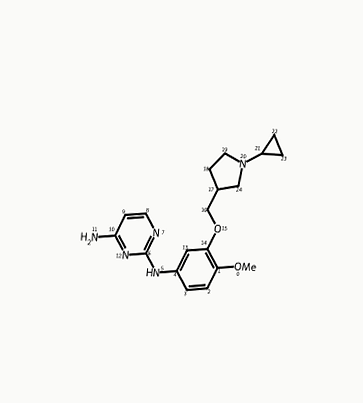 COc1ccc(Nc2nccc(N)n2)cc1OCC1CCN(C2CC2)C1